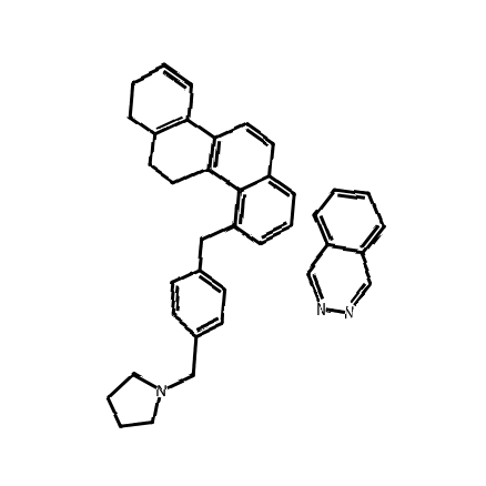 C1=CC2=C(CC1)CCc1c2ccc2cccc(Cc3ccc(CN4CCCC4)cc3)c12.c1ccc2cnncc2c1